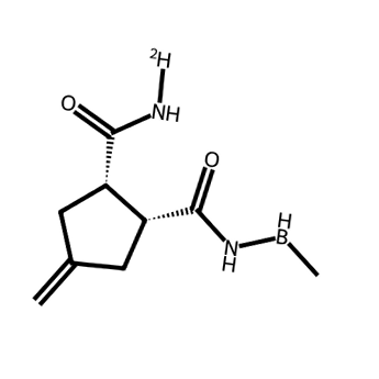 [2H]NC(=O)[C@H]1CC(=C)C[C@H]1C(=O)NBC